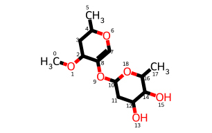 COC1CC(C)OC=C1OC1CC(O)C(O)C(C)O1